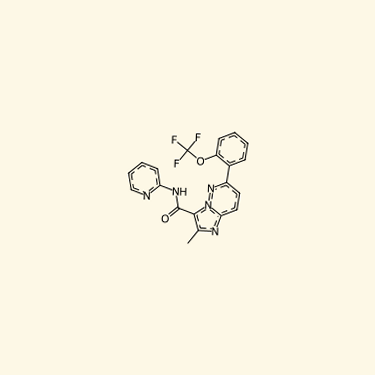 Cc1nc2ccc(-c3ccccc3OC(F)(F)F)nn2c1C(=O)Nc1ccccn1